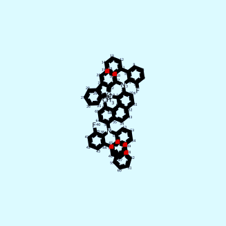 Cc1c(N(c2c(F)cccc2-c2ccccc2)c2cccc3c2oc2ccccc23)ccc2ccc3c(N(c4c(F)cccc4-c4ccccc4)c4cccc5c4oc4ccccc45)ccc(C)c3c12